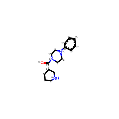 O=C([C@H]1CCCNC1)N1CCN(c2ccccc2)CC1